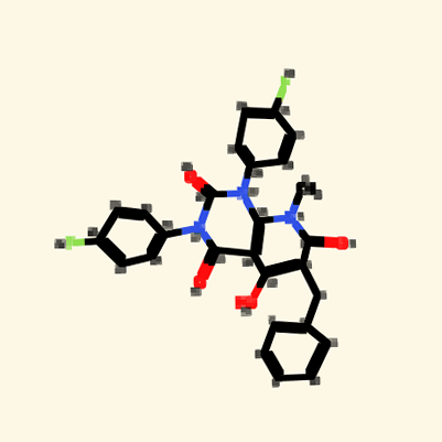 Cn1c(=O)c(Cc2ccccc2)c(O)c2c(=O)n(-c3ccc(F)cc3)c(=O)n(-c3ccc(F)cc3)c21